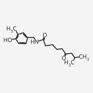 Cc1cc(CNC(=O)CCCCC(=O)CC(C)C)ccc1O